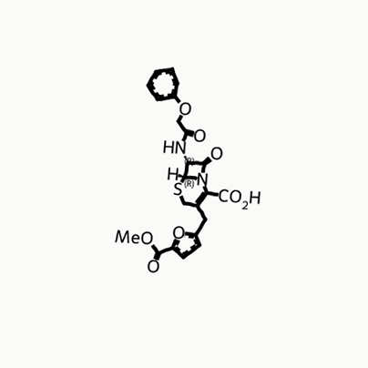 COC(=O)c1ccc(CC2=C(C(=O)O)N3C(=O)[C@@H](NC(=O)COc4ccccc4)[C@H]3SC2)o1